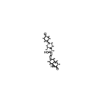 CC1CN(c2ccc(Cl)cc2)CCN1C[C@H](O)COc1ccc2[nH]c(=O)ccc2c1